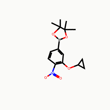 CC1(C)OB(c2ccc([N+](=O)[O-])c(OC3CC3)c2)OC1(C)C